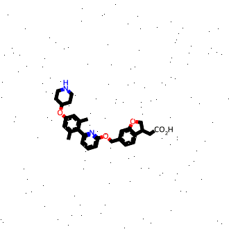 Cc1cc(OC2CCNCC2)cc(C)c1-c1cccc(OCc2ccc3c(c2)OCC3CC(=O)O)n1